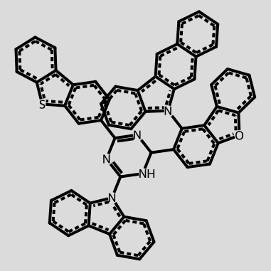 c1ccc2cc3c(cc2c1)c1ccccc1n3-c1c(C2N=C(c3ccc4c(c3)sc3ccccc34)N=C(n3c4ccccc4c4ccccc43)N2)ccc2oc3ccccc3c12